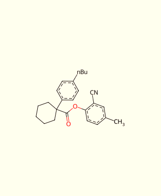 CCCCc1ccc(C2(C(=O)Oc3ccc(C)cc3C#N)CCCCC2)cc1